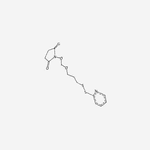 O=C1CCC(=O)N1OCOCCCSSc1ccccn1